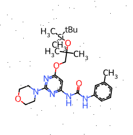 Cc1cccc(NC(=O)Nc2cc(OCC(C)(C)O[Si](C)(C)C(C)(C)C)nc(N3CCOCC3)n2)c1